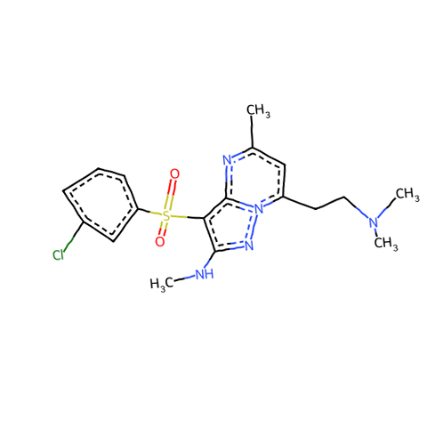 CNc1nn2c(CCN(C)C)cc(C)nc2c1S(=O)(=O)c1cccc(Cl)c1